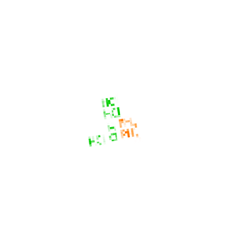 Cl.Cl.Cl.Cl.P.P